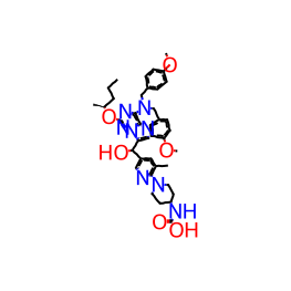 CCC[C@H](C)Oc1nc(N(Cc2ccc(OC)cc2)Cc2ccc(OC)cc2)c2ncc(C(O)c3cnc(N4CCC(NC(=O)O)CC4)c(C)c3)n2n1